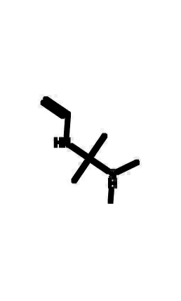 C=CNC(C)(C)[SH](C)C